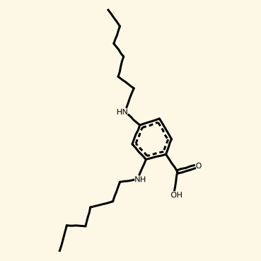 CCCCCCNc1ccc(C(=O)O)c(NCCCCCC)c1